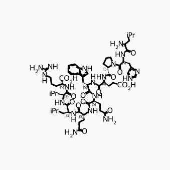 CC(C)C[C@H](NC(=O)[C@H](CCC(N)=O)NC(=O)[C@H](CCC(N)=O)NC(=O)[C@H](Cc1c[nH]c2ccccc12)NC(=O)[C@H](CCC(=O)O)NC(=O)[C@@H]1CCCN1C(=O)[C@H](Cc1c[nH]cn1)NC(=O)[C@@H](N)CC(C)C)C(=O)N[C@H](C(=O)N[C@@H](CCCNC(=N)N)C(=O)O)C(C)C